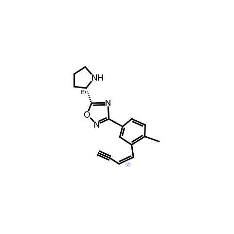 C#C/C=C\c1cc(-c2noc([C@@H]3CCCN3)n2)ccc1C